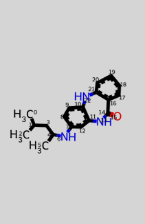 CC(C)CC(C)Nc1ccc2c(c1)NC(=O)c1ccccc1N2